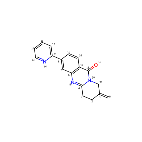 C=C1CCc2nc3cc(-c4ccccn4)ccc3c(=O)n2C1